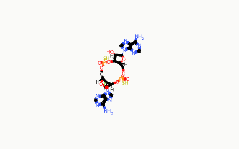 Nc1ncnc2c1ncn2[C@@H]1O[C@@H]2CO[P@](=O)(S)O[C@@H]3[C@H](F)[C@@H](CO[P@@](=O)(S)O[C@H]2[C@H]1O)O[C@H]3n1cnc2c(N)ncnc21